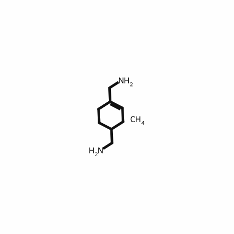 C.NCC1=CCC(CN)CC1